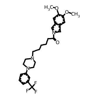 COc1cc2cn(C(=O)CCCCCN3CCN(c4cccc(C(F)(F)F)c4)CC3)cc2cc1OC